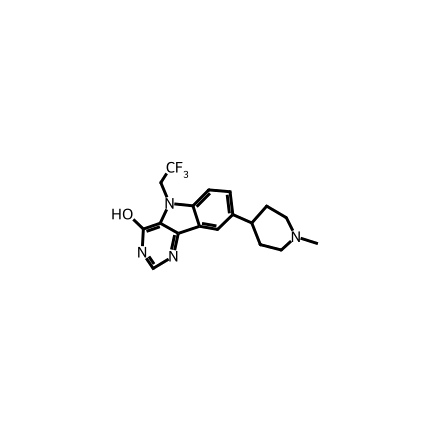 CN1CCC(c2ccc3c(c2)c2ncnc(O)c2n3CC(F)(F)F)CC1